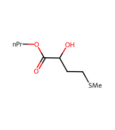 CCCOC(=O)C(O)CCSC